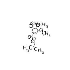 COc1cc(C(=O)OO[CH]C(C)C)cc(OC)c1OC